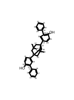 CC12CC3(C)CC(c4ccc(O)c(-c5ccccc5)c4)(C1)CC(c1ccc(O)c(-c4ccccc4)c1)(C2)C3